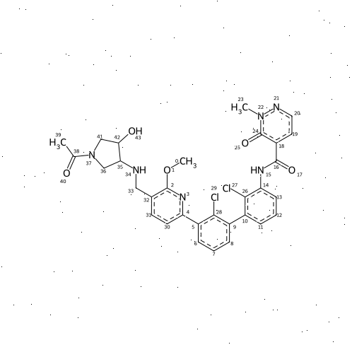 COc1nc(-c2cccc(-c3cccc(NC(=O)c4ccnn(C)c4=O)c3Cl)c2Cl)ccc1CNC1CN(C(C)=O)CC1O